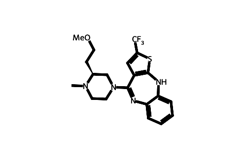 COCC[C@H]1CN(C2=Nc3ccccc3Nc3sc(C(F)(F)F)cc32)CCN1C